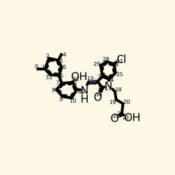 Cc1cc(C)cc(-c2cccc(N/C=C3\C(=O)N(CCCC(=O)O)c4cc(Cl)ccc43)c2O)c1